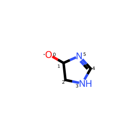 [O]C1CNC=N1